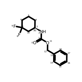 O=C(N[C@@H]1CCCC(F)(F)C1)OCc1ccccc1